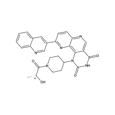 C[C@@H](O)C(=O)N1CCC(n2c(=O)[nH]c(=O)c3cnc4ccc(-c5cnc6ccccc6c5)nc4c32)CC1